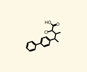 CC(c1ccc(-c2ccccc2)cc1)C(C)C(Cl)C(=O)O